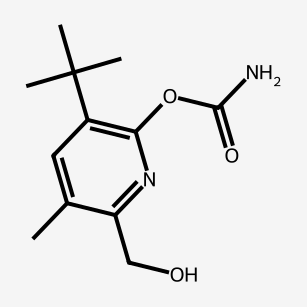 Cc1cc(C(C)(C)C)c(OC(N)=O)nc1CO